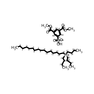 CCCCCCCCCCCCCCCC[PH](CCCC)(CCCC)CCCC.COC(=O)c1cc(C(=O)OC)cc(S(=O)(=O)O)c1